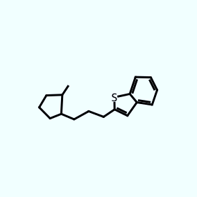 CC1CCCC1CCCc1cc2ccccc2s1